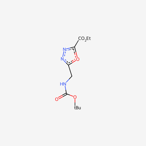 CCOC(=O)c1nnc(CNC(=O)OC(C)(C)C)o1